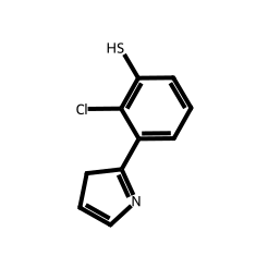 Sc1cccc(C2=NC=CC2)c1Cl